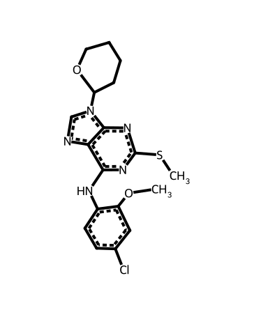 COc1cc(Cl)ccc1Nc1nc(SC)nc2c1ncn2C1CCCCO1